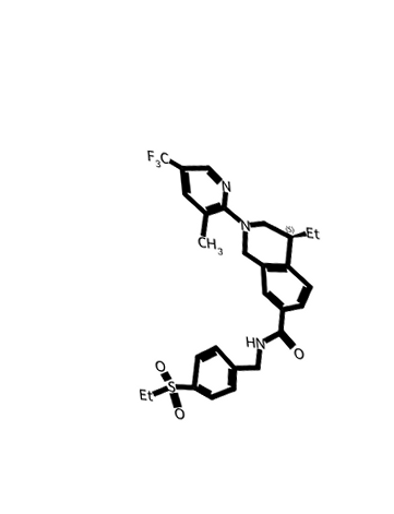 CC[C@@H]1CN(c2ncc(C(F)(F)F)cc2C)Cc2cc(C(=O)NCc3ccc(S(=O)(=O)CC)cc3)ccc21